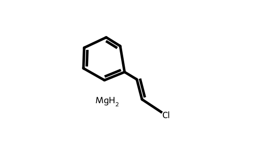 ClC=Cc1ccccc1.[MgH2]